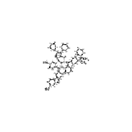 CC(C)(C)c1ccc(N2B3c4cc5nc(-c6ccccc6)n(-c6ccccc6)c5cc4-n4c5cc6c(cc5c5ccc(c3c54)-c3cc4oc5cc(C(C)(C)C)ccc5c4cc32)C(C)(C)c2ccccc2-6)cc1